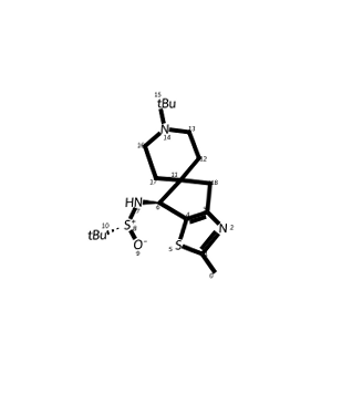 Cc1nc2c(s1)[C@@H](N[S@+]([O-])C(C)(C)C)C1(CCN(C(C)(C)C)CC1)C2